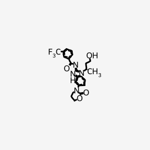 C[C@H](CCO)n1/c(=N/C(=O)c2cccc(C(F)(F)F)c2)[nH]c2cc(N3CCCOC3=O)ccc21